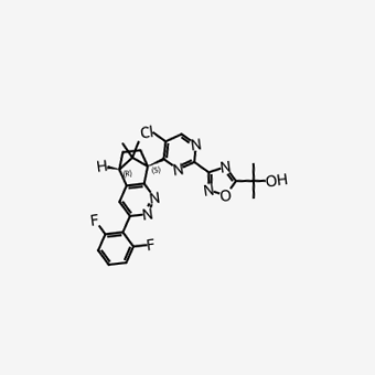 CC(C)(O)c1nc(-c2ncc(Cl)c([C@@]34CC[C@@H](c5cc(-c6c(F)cccc6F)nnc53)C4(C)C)n2)no1